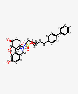 O=C1CCC2(OS(=O)OCCCc3ccc(-c4ccccc4)cc3)C3Cc4ccc(O)c5c4C2(CCN3CC2CC2)C1O5